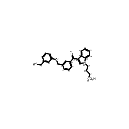 CC(C)Cc1cccc(OCc2cccc(C(=O)c3cn(CCCC(=O)O)c4ccccc34)c2)c1